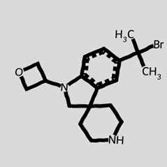 CC(C)(Br)c1ccc2c(c1)C1(CCNCC1)CN2C1COC1